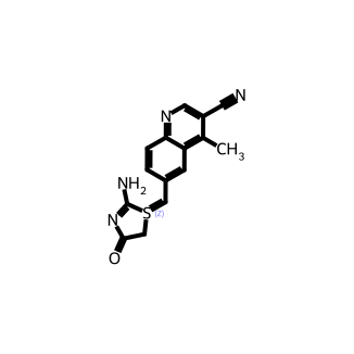 Cc1c(C#N)cnc2ccc(/C=S3/CC(=O)N=C3N)cc12